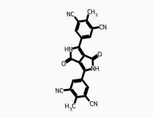 Cc1c(C#N)cc(C2=C3C(=O)NC(c4cc(C#N)c(C)c(C#N)c4)=C3C(=O)N2)cc1C#N